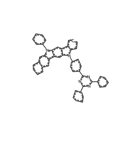 c1ccc(-c2nc(-c3ccccc3)nc(-c3ccc(-n4c5ccccc5c5cc6c(cc54)c4cc5ccccc5cc4n6-c4ccccc4)cc3)n2)cc1